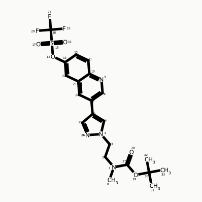 CN(CCn1cc(-c2cnc3ccc(OS(=O)(=O)C(F)(F)F)cc3c2)cn1)C(=O)OC(C)(C)C